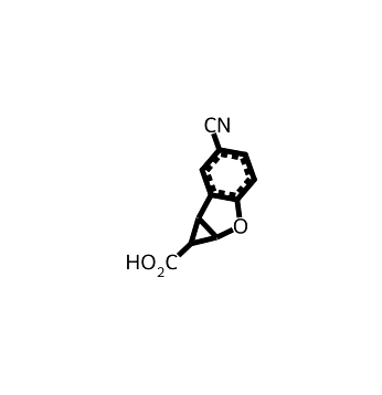 N#Cc1ccc2c(c1)C1C(O2)C1C(=O)O